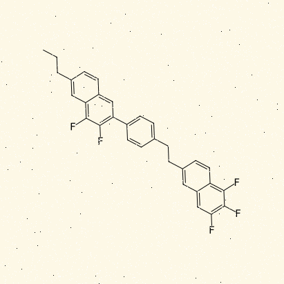 CCCc1ccc2cc(-c3ccc(CCc4ccc5c(F)c(F)c(F)cc5c4)cc3)c(F)c(F)c2c1